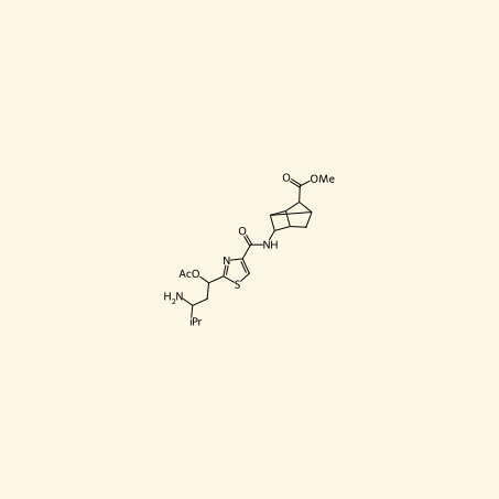 COC(=O)C1C2CC3C(NC(=O)c4csc(C(CC(N)C(C)C)OC(C)=O)n4)C2C31